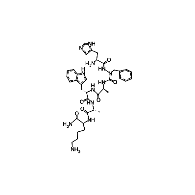 C[C@H](NC(=O)N(Cc1ccccc1)NC(=O)C(N)Cc1cnc[nH]1)C(=O)N[C@@H](Cc1c[nH]c2ccccc12)C(=O)N[C@H](C)C(=O)N[C@@H](CCCCN)C(N)=O